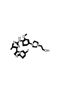 COc1cc(N2CCN(CCO)CC2)ccc1Nc1ncc(C)c(-c2cnc3ccc(F)cn23)n1